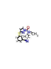 CCN(CC)C(=O)n1ccc(Sc2cccc(C#N)c2)n1